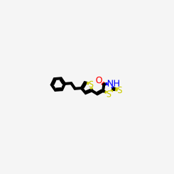 O=C1NC(=S)S/C1=C/c1cc(CCc2ccccc2)cs1